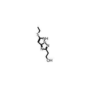 CCSc1cc2nc(CCO)nn2[nH]1